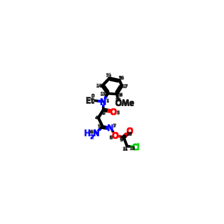 CCN(C(=O)CC(N)=NOC(=O)CCl)c1ccccc1OC